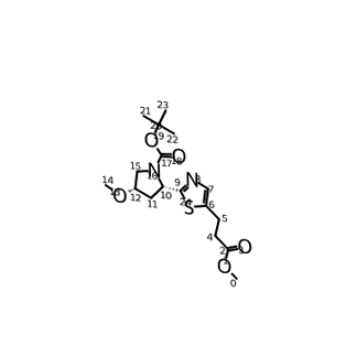 COC(=O)CCc1cnc([C@@H]2C[C@H](OC)CN2C(=O)OC(C)(C)C)s1